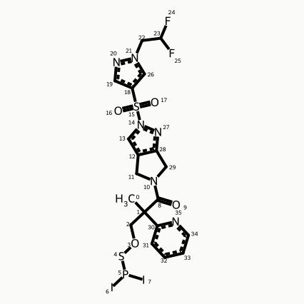 CC(COSP(I)I)(C(=O)N1Cc2cn(S(=O)(=O)c3cnn(CC(F)F)c3)nc2C1)c1ccccn1